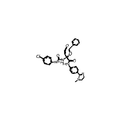 CN1CCN=C1c1ccc(NC(=O)[C@@](C=C=O)(NC(=O)Nc2ccc(Cl)cc2)OCc2ccccc2)cc1